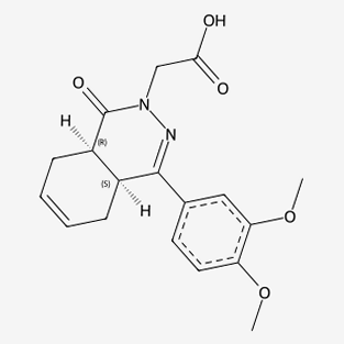 COc1ccc(C2=NN(CC(=O)O)C(=O)[C@@H]3CC=CC[C@H]23)cc1OC